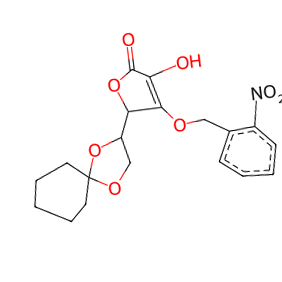 O=C1OC(C2COC3(CCCCC3)O2)C(OCc2ccccc2[N+](=O)[O-])=C1O